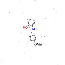 COc1ccc(CNC2=C[CH]CC=C2O)cc1